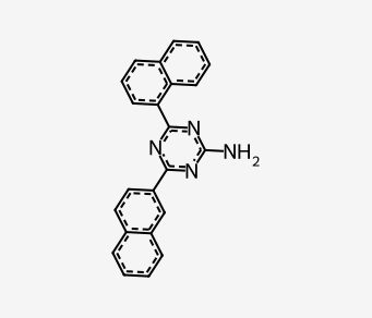 Nc1nc(-c2ccc3ccccc3c2)nc(-c2cccc3ccccc23)n1